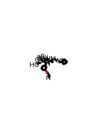 C=C(N[C@H](C)CNCc1ccccc1)c1cc2c(c(-c3cccc(C#CCN(C)C)c3)n1)[C@@H](CCO)N([S@+]([O-])CCCC)C2